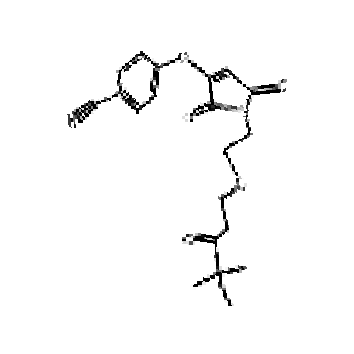 CC(C)(C)C(=O)CCOCCN1C(=O)C=C(Oc2ccc(C#N)cc2)C1=O